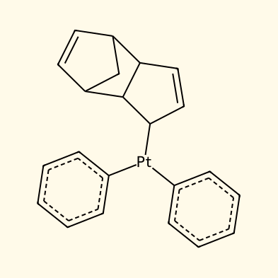 C1=CC2CC1C1C=C[CH]([Pt]([c]3ccccc3)[c]3ccccc3)C21